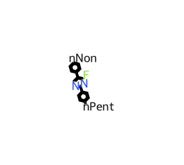 CCCCCCCCCc1ccc(-c2cnc(-c3ccc(CCCCC)cc3)nc2F)cc1